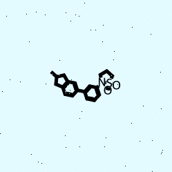 CC1Cc2ccc(-c3cccc(N4CCCS4(=O)=O)c3)cc2C1